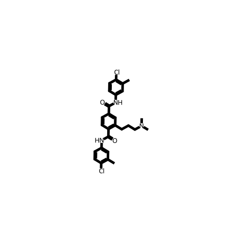 Cc1cc(NC(=O)c2ccc(C(=O)Nc3ccc(Cl)c(C)c3)c(CCCN(C)C)c2)ccc1Cl